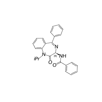 CC(C)N1C(=O)[C@H](NC(=O)c2ccccc2)N=C(c2ccccc2)c2ccccc21